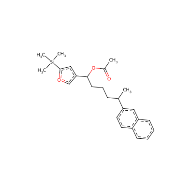 CC(=O)OC(CCCC(C)c1ccc2ccccc2c1)c1coc([Si](C)(C)C)c1